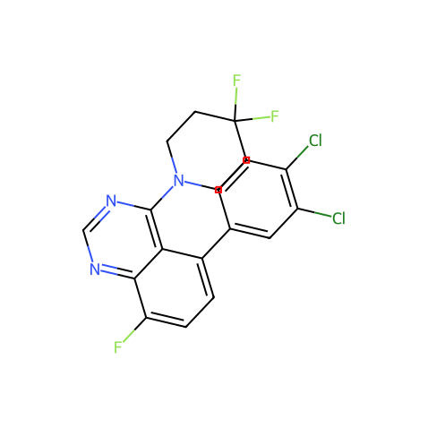 Fc1ccc(-c2ccc(Cl)c(Cl)c2)c2c(N3CCC(F)(F)CC3)ncnc12